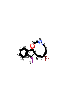 CN1CC/C=C(Br)\C=C/[C@@H](CI)C(c2ccccc2)OCC1